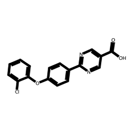 O=C(O)c1cnc(-c2ccc(Oc3ccccc3Cl)cc2)nc1